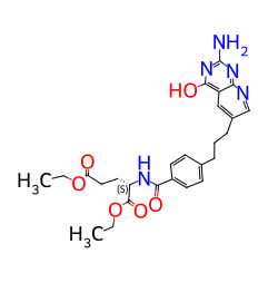 CCOC(=O)CC[C@H](NC(=O)c1ccc(CCCc2cnc3nc(N)nc(O)c3c2)cc1)C(=O)OCC